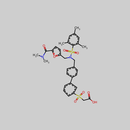 Cc1cc(C)c(S(=O)(=O)N(Cc2ccc(-c3cccc(S(=O)(=O)CC(=O)O)c3)cc2)Cc2ccc(C(=O)N(C)C)o2)c(C)c1